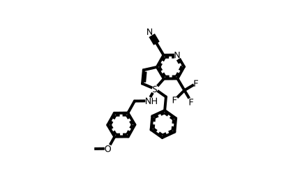 COc1ccc(CNS2(Cc3ccccc3)C=Cc3c(C#N)ncc(C(F)(F)F)c32)cc1